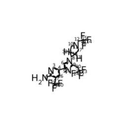 Nc1ncc(-c2cn([C@@H]3[C@@H]4CN(CC(F)(F)F)C[C@@H]43)c(CC(F)(F)F)n2)cc1C(F)(F)F